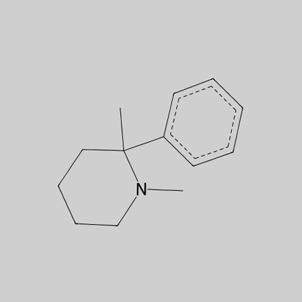 CN1CCCCC1(C)c1ccccc1